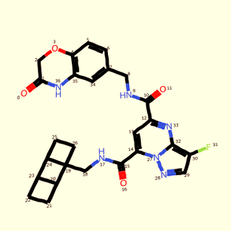 O=C1COc2ccc(CNC(=O)c3cc(C(=O)NCC45C6C7C8C6C4C8C75)n4ncc(F)c4n3)cc2N1